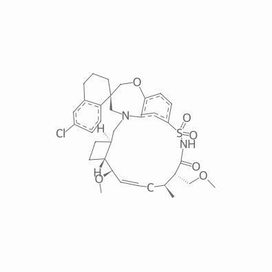 COC[C@H]1C(=O)NS(=O)(=O)c2ccc3c(c2)N(C[C@@H]2CC[C@H]2[C@H](OC)/C=C/C[C@@H]1C)C[C@@]1(CCCc2cc(Cl)ccc21)CO3